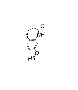 O=C1CCSc2ccc(OS)cc2N1